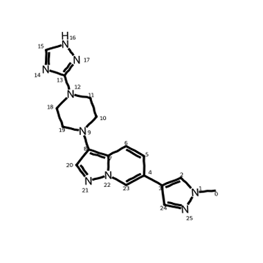 Cn1cc(-c2ccc3c(N4CCN(c5nc[nH]n5)CC4)cnn3c2)cn1